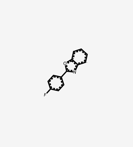 Fc1ccc(-c2nc3[c]cccc3o2)cc1